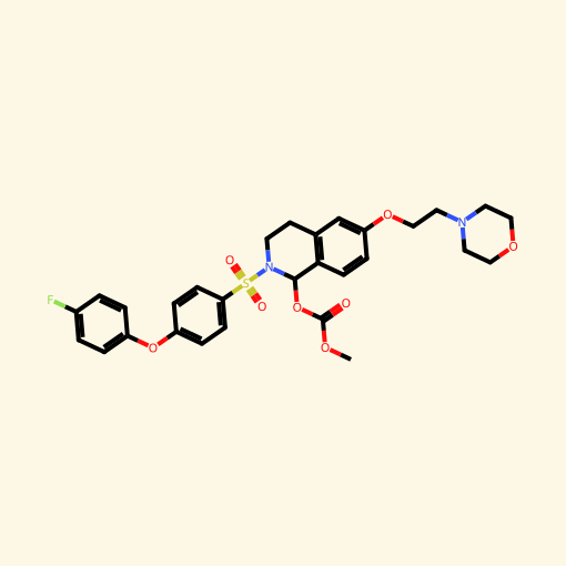 COC(=O)OC1c2ccc(OCCN3CCOCC3)cc2CCN1S(=O)(=O)c1ccc(Oc2ccc(F)cc2)cc1